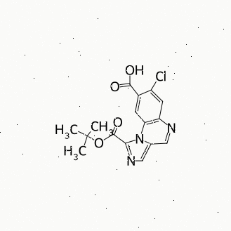 CC(C)(C)OC(=O)c1ncc2cnc3cc(Cl)c(C(=O)O)cc3n12